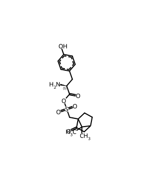 CC1(C)C2CCC1(CS(=O)(=O)OC(=O)[C@@H](N)Cc1ccc(O)cc1)C(=O)C2